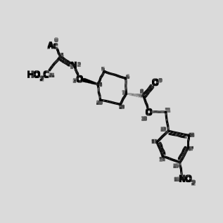 CC(=O)C(=NO[C@H]1CC[C@H](C(=O)OCc2ccc([N+](=O)[O-])cc2)CC1)C(=O)O